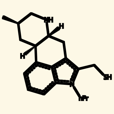 CCCn1c(CS)c2c3c(cccc31)[C@H]1C[C@@H](C)CN[C@@H]1C2